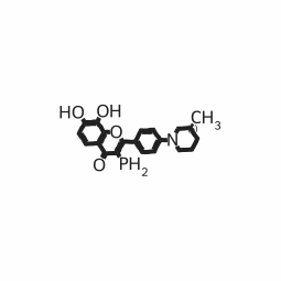 C[C@H]1CCCN(c2ccc(-c3oc4c(O)c(O)ccc4c(=O)c3P)cc2)C1